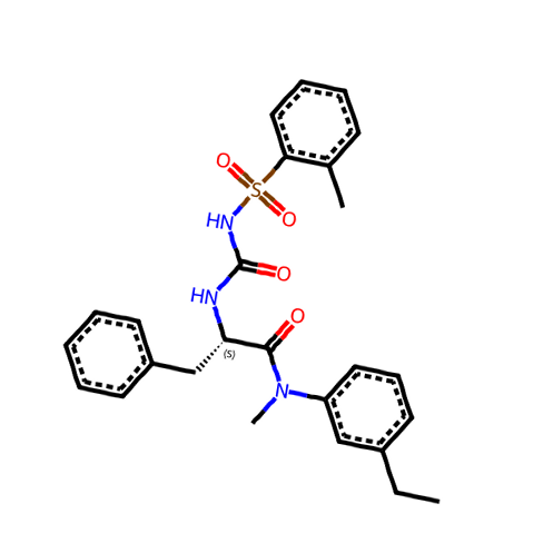 CCc1cccc(N(C)C(=O)[C@H](Cc2ccccc2)NC(=O)NS(=O)(=O)c2ccccc2C)c1